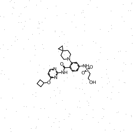 O=C(Nc1nccc(OC2CCC2)n1)c1ccc(NS(=O)(=O)CCO)cc1N1CCC2(CC1)CC2